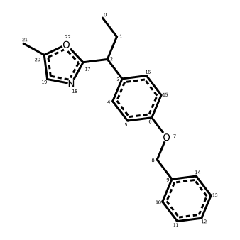 CCC(c1ccc(OCc2ccccc2)cc1)c1ncc(C)o1